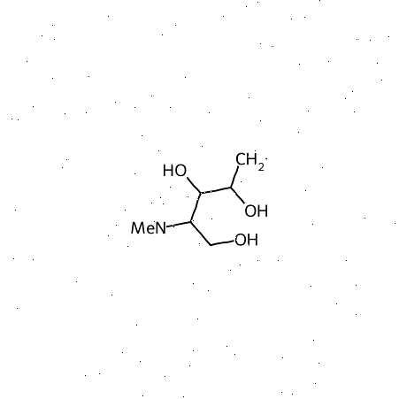 [CH2]C(O)C(O)C(CO)NC